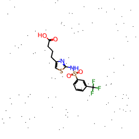 O=C(O)CCCc1csc(NS(=O)(=O)c2cccc(C(F)(F)F)c2)n1